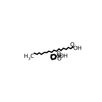 CCCCCCCCCCCCCCCCCC(=O)O.O=S(=O)(O)c1ccccc1